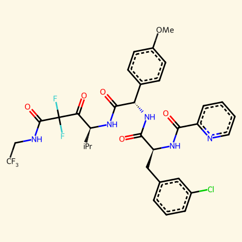 COc1ccc([C@H](NC(=O)[C@H](Cc2cccc(Cl)c2)NC(=O)c2ccccn2)C(=O)N[C@H](C(=O)C(F)(F)C(=O)NCC(F)(F)F)C(C)C)cc1